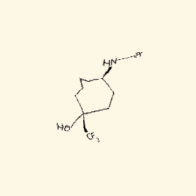 CC(C)N[C@H]1CC[C@@](O)(C(F)(F)F)CC1